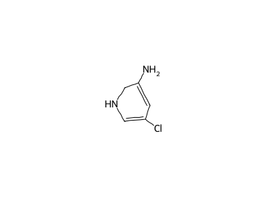 NC1=CC(Cl)=CNC1